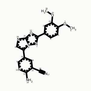 COc1ccc(-c2nn3c(-c4cnc(N)c(C#N)c4)cnc3o2)cc1OC